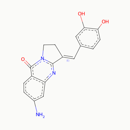 Nc1ccc2c(=O)n3c(nc2c1)/C(=C/c1ccc(O)c(O)c1)CC3